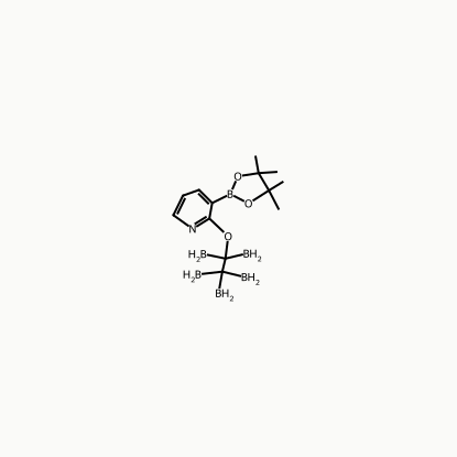 BC(B)(B)C(B)(B)Oc1ncccc1B1OC(C)(C)C(C)(C)O1